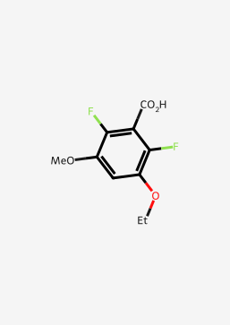 CCOc1cc(OC)c(F)c(C(=O)O)c1F